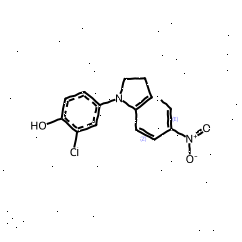 C/C=C(\C=C/C1=CCCN1c1ccc(O)c(Cl)c1)[N+](=O)[O-]